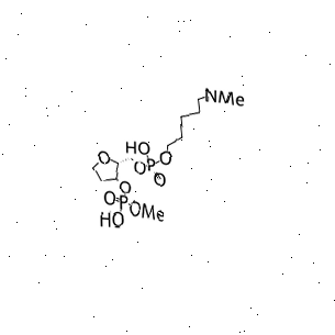 CNCCCCCOP(=O)(O)OC[C@H]1OCC[C@H]1OP(=O)(O)OC